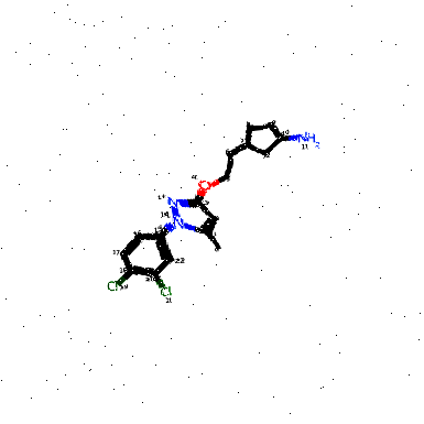 Cc1cc(OCCC2CCC(N)C2)nn1-c1ccc(Cl)c(Cl)c1